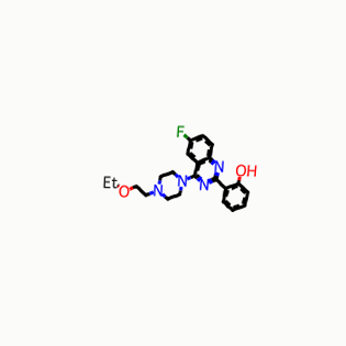 CCOCCN1CCN(c2nc(-c3ccccc3O)nc3ccc(F)cc23)CC1